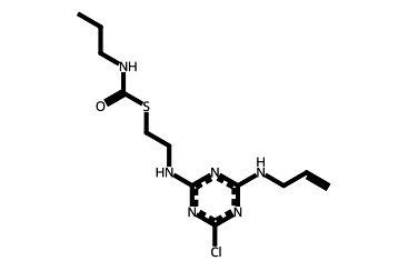 C=CCNc1nc(Cl)nc(NCCSC(=O)NCCC)n1